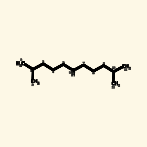 CC(C)CCC[SiH]CCCC(C)C